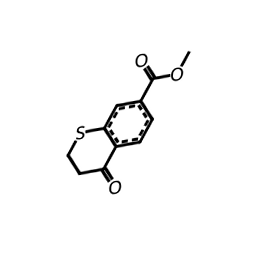 COC(=O)c1ccc2c(c1)SCCC2=O